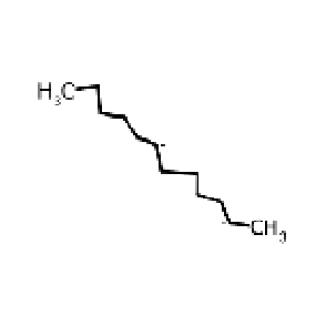 C[CH]CCCC[CH]CCCCC